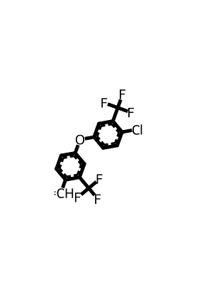 [CH]c1ccc(Oc2ccc(Cl)c(C(F)(F)F)c2)cc1C(F)(F)F